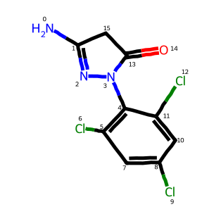 NC1=NN(c2c(Cl)cc(Cl)cc2Cl)C(=O)C1